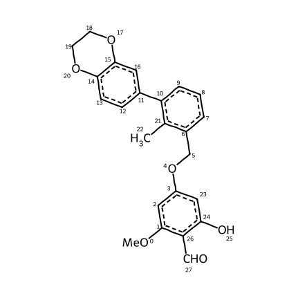 COc1cc(OCc2cccc(-c3ccc4c(c3)OCCO4)c2C)cc(O)c1C=O